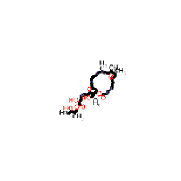 C=C(COC(=O)C(O)C/C=C\CC1OC2/C=C/C/C=C/C(C)=C\C3OC(C/C=C/C=C/C(=O)OC(C2)C1(C)CO)CC(C)C3C)C(O)CC(C)C